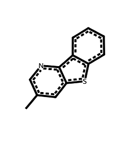 Cc1cnc2c(c1)sc1ccccc12